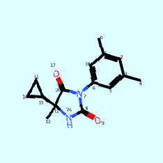 Cc1cc(C)cc(N2C(=O)NC(C)(C3CC3)C2=O)c1